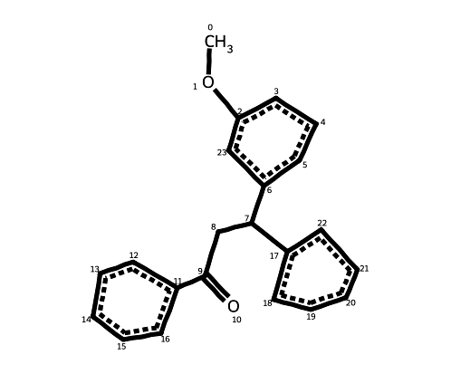 COc1cccc(C(CC(=O)c2ccccc2)c2ccccc2)c1